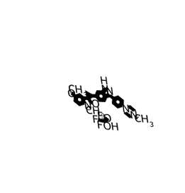 COc1ccc2c(c1)C1(CC1c1ccc3c(-c4ccc(N5CCN(C)CC5)cc4)n[nH]c3c1)C(=O)N2C.O=C(O)C(F)(F)F